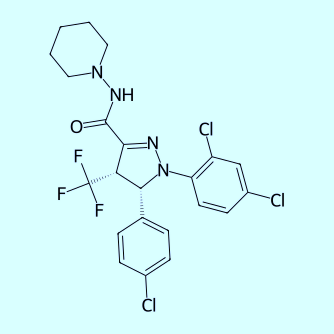 O=C(NN1CCCCC1)C1=NN(c2ccc(Cl)cc2Cl)[C@H](c2ccc(Cl)cc2)[C@@H]1C(F)(F)F